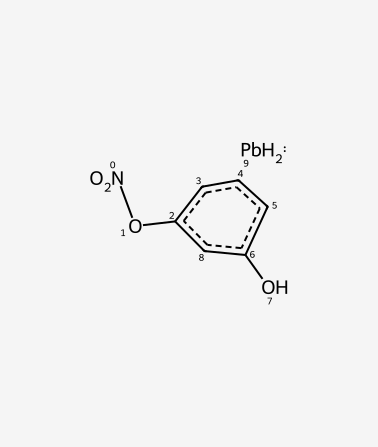 O=[N+]([O-])Oc1cccc(O)c1.[PbH2]